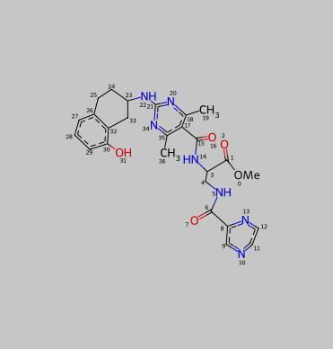 COC(=O)C(CNC(=O)c1cnccn1)NC(=O)c1c(C)nc(NC2CCc3cccc(O)c3C2)nc1C